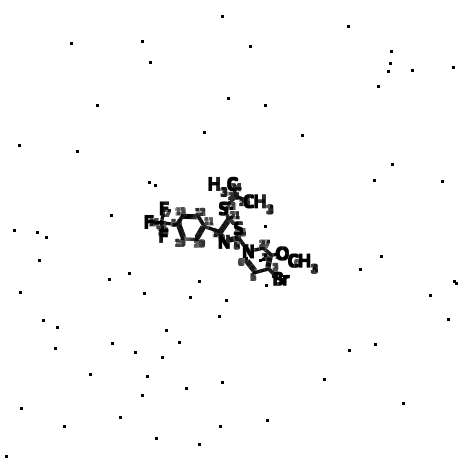 COC1=C(Br)C=CN(c2nc(-c3ccc(C(F)(F)F)cc3)c(SC(C)C)s2)C1